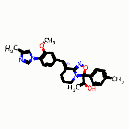 COc1cc(/C=C2\CCCN3C2=NOC3(c2ccc(C)cc2)C(C)O)ccc1-n1cnc(C)c1